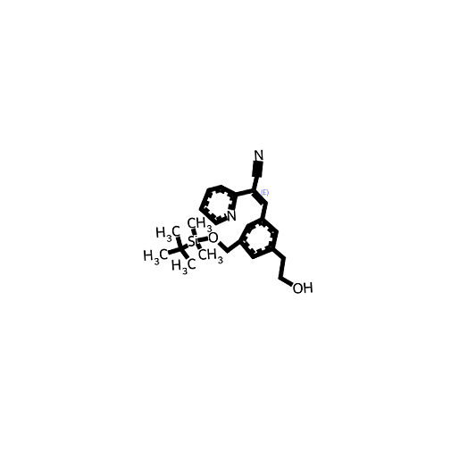 CC(C)(C)[Si](C)(C)OCc1cc(/C=C(/C#N)c2ccccn2)cc(CCO)c1